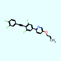 C=CCOc1ccc(-c2cc(F)c(C#Cc3ccc(F)c(F)c3)c(F)c2)nc1